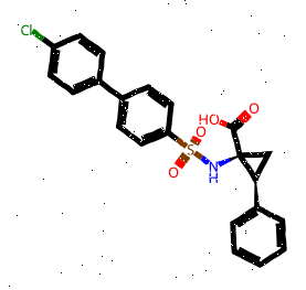 O=C(O)[C@]1(NS(=O)(=O)c2ccc(-c3ccc(Cl)cc3)cc2)C[C@H]1c1ccccc1